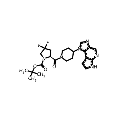 CC(C)(C)OC(=O)N1CC(F)(F)C[C@H]1C(=O)N1CCC(n2cnc3cnc4[nH]ccc4c32)CC1